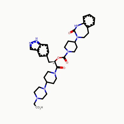 O=C(O)CN1CCN(C2CCN(C(=O)[C@@H](Cc3ccc4[nH]ncc4c3)OC(=O)N3CCC(N4CCc5ccccc5NC4=O)CC3)CC2)CC1